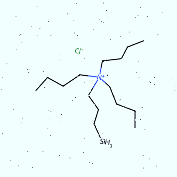 CCCC[N+](CCCC)(CCCC)CCC[SiH3].[Cl-]